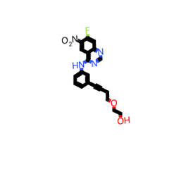 O=[N+]([O-])c1cc2c(Nc3cccc(C#CCCOCCO)c3)ncnc2cc1F